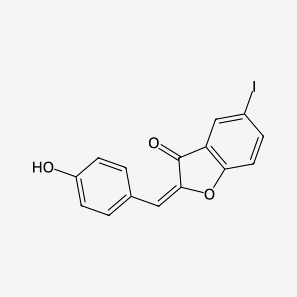 O=C1C(=Cc2ccc(O)cc2)Oc2ccc(I)cc21